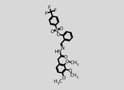 COc1ccc(CC(=O)N/N=C/c2ccccc2OS(=O)(=O)c2ccc(C(F)(F)F)cc2)c(OC)c1OC